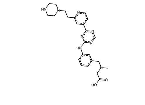 CN(CC(=O)O)Cc1cccc(Nc2ncnc(-c3ccnc(CCN4CCNCC4)c3)n2)c1